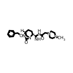 CN1CCN(CC(=O)NC(=N)[C@@H]2CC[C@@H]3CN2C(=O)N3OCc2ccccc2)CC1